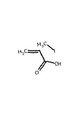 C=CC(=O)O.CI